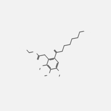 CCCCCCCC(=O)c1cc(OC)c(OC)c(OC)c1CC(=O)OCC